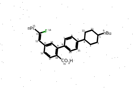 CCCCC1CCC(c2ccc(-c3cc(C=C(F)CCC)ccc3C(=O)O)cc2)CC1